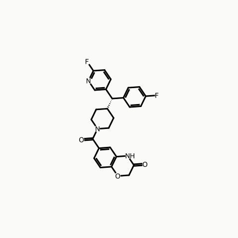 O=C1COc2ccc(C(=O)N3CCC([C@@H](c4ccc(F)cc4)c4ccc(F)nc4)CC3)cc2N1